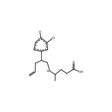 C=CCC(CNC(C)CCC(=O)O)c1ccc(Cl)c(Cl)c1